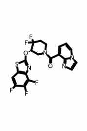 O=C(c1cccn2ccnc12)N1CCC(F)(F)[C@@H](Oc2nc3c(F)c(F)c(F)cc3s2)C1